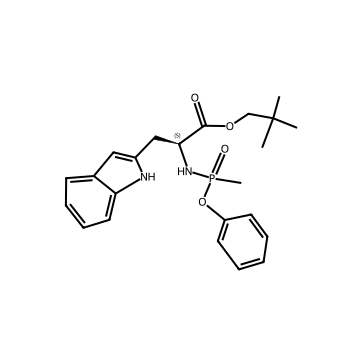 CC(C)(C)COC(=O)[C@H](Cc1cc2ccccc2[nH]1)NP(C)(=O)Oc1ccccc1